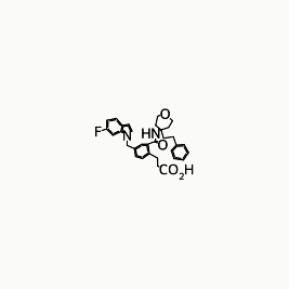 O=C(O)CCc1ccc(Cn2ccc3ccc(F)cc32)cc1C(=O)NC1(CCc2ccccc2)CCOCC1